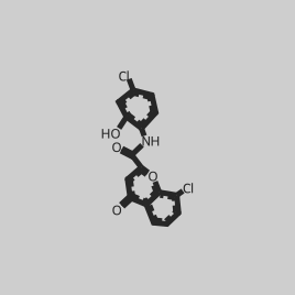 O=C(Nc1ccc(Cl)cc1O)c1cc(=O)c2cccc(Cl)c2o1